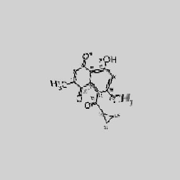 CC1=CC(=O)c2c(O)cc(C)c(C(=O)C3CC3)c2C1=O